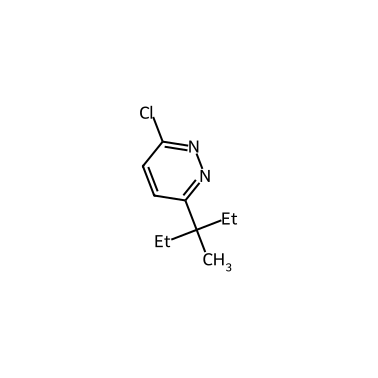 CCC(C)(CC)c1ccc(Cl)nn1